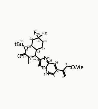 C=C(COC)c1cnn2cc(C(NC(=O)OC(C)(C)C)C3CCC(F)(F)CC3)nc2c1